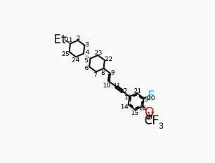 CC[C@H]1CC[C@H](C2CCC(/C=C/C#Cc3ccc(OC(F)(F)F)c(F)c3)CC2)CC1